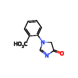 O=C1CN(c2ccccc2C(=O)O)C=N1